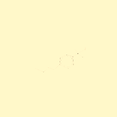 FC(F)(F)c1ccc(CCCS)cc1